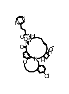 CO[C@H]1/C=C/CCC[S@@](=O)(NC(=O)CCc2cnccn2)=NC(=O)c2ccc3c(c2)N(Cc2ccc(Cl)cc2CCCCO3)C[C@@H]2CC[C@H]21